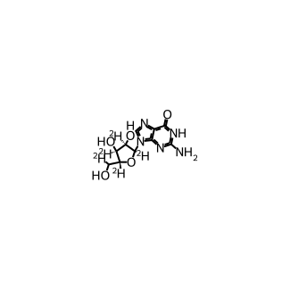 [2H]C(O)[C@@]1([2H])O[C@@]([2H])(n2cnc3c(=O)[nH]c(N)nc32)[C@]([2H])(O)[C@]1([2H])O